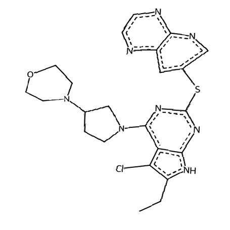 CCc1[nH]c2nc(Sc3cnc4nccnc4c3)nc(N3CCC(N4CCOCC4)C3)c2c1Cl